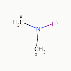 CN(C)I